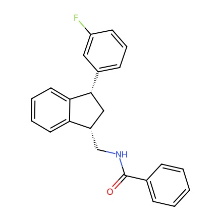 O=C(NC[C@H]1C[C@@H](c2cccc(F)c2)c2ccccc21)c1ccccc1